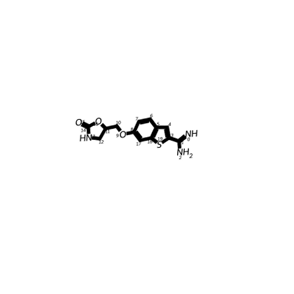 N=C(N)c1cc2ccc(OCC3CNC(=O)O3)cc2s1